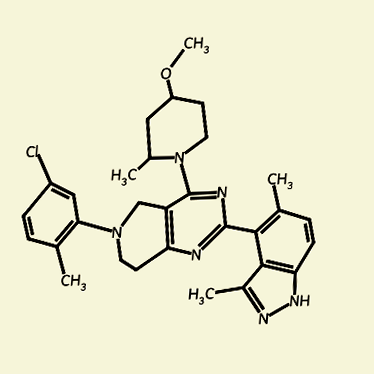 COC1CCN(c2nc(-c3c(C)ccc4[nH]nc(C)c34)nc3c2CN(c2cc(Cl)ccc2C)CC3)C(C)C1